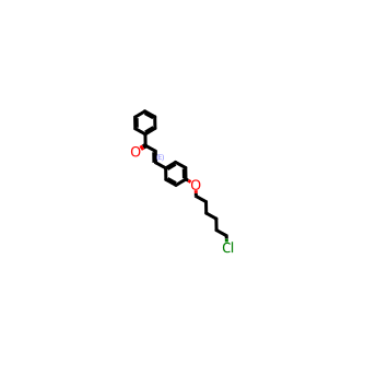 O=C(/C=C/c1ccc(OCCCCCCCl)cc1)c1ccccc1